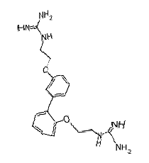 N=C(N)NCCOc1cccc(-c2ccccc2OCCNC(=N)N)c1